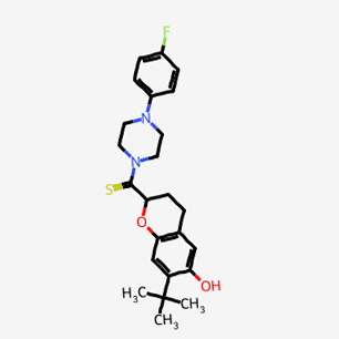 CC(C)(C)c1cc2c(cc1O)CCC(C(=S)N1CCN(c3ccc(F)cc3)CC1)O2